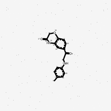 Cc1ccc(NCC(=O)c2ccc3c(c2)NC(=O)CO3)cc1